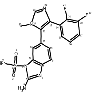 CC(C)S(=O)(=O)n1c(N)nc2ccc(-c3c(-c4cccc(F)c4F)ncn3C)cc21